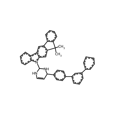 CC1(C)c2ccccc2-c2cc3c4ccccc4n(C4NC=CC(c5ccc(-c6cccc(-c7ccccc7)c6)cc5)N4)c3cc21